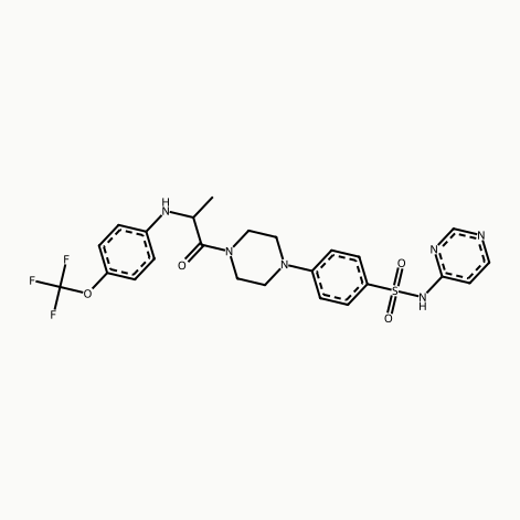 CC(Nc1ccc(OC(F)(F)F)cc1)C(=O)N1CCN(c2ccc(S(=O)(=O)Nc3ccncn3)cc2)CC1